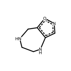 c1noc2c1NCCNC2